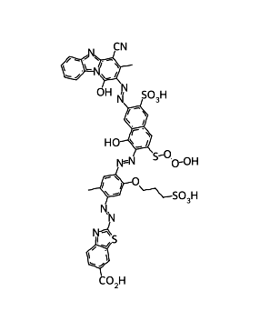 Cc1cc(N=Nc2c(SOOO)cc3cc(S(=O)(=O)O)c(N=Nc4c(C)c(C#N)c5nc6ccccc6n5c4O)cc3c2O)c(OCCCS(=O)(=O)O)cc1N=Nc1nc2ccc(C(=O)O)cc2s1